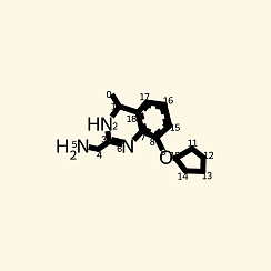 CC1NC(CN)=Nc2c(OC3CCCC3)cccc21